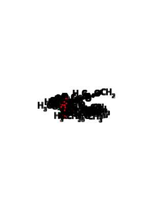 C=CCOC/C=C/[C@H]1CC(=C)[C@H](CC[C@H]2C[C@@H](C)C(=C)[C@@H](C[C@@H]3O[C@H](C[C@@H](CO[Si](C)(C)C(C)(C)C)O[Si](C)(C)C(C)(C)C)[C@H](OC)[C@H]3CC(=O)C[C@H]3CC[C@@H]4O[C@@H]5[C@@H](O[C@H](CC(C=C)O[Si](CC)(CC)CC)[C@@H]5O[Si](c5ccccc5)(c5ccccc5)C(C)(C)C)[C@@H](O[Si](c5ccccc5)(c5ccccc5)C(C)(C)C)[C@H]4O3)O2)O1